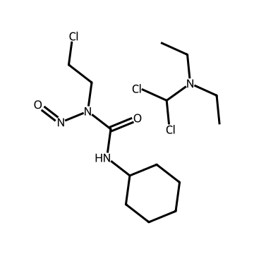 CCN(CC)C(Cl)Cl.O=NN(CCCl)C(=O)NC1CCCCC1